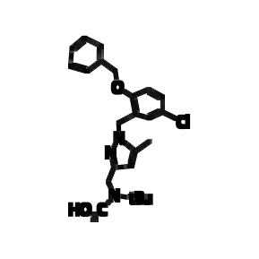 Cc1cc(CN(C(=O)O)C(C)(C)C)nn1Cc1cc(Cl)ccc1OCc1ccccc1